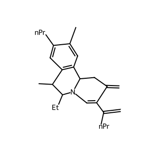 C=C(CCC)C1=CN2C(CC1=C)c1cc(C)c(CCC)cc1C(C)C2CC